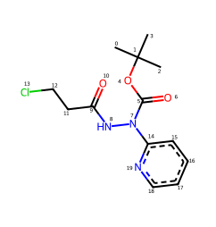 CC(C)(C)OC(=O)N(NC(=O)CCCl)c1ccccn1